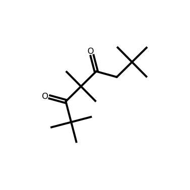 CC(C)(C)CC(=O)C(C)(C)C(=O)C(C)(C)C